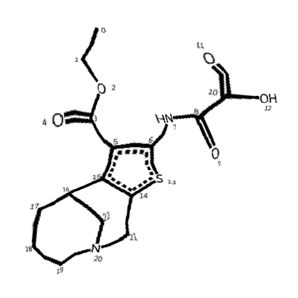 CCOC(=O)c1c(NC(=O)C(=O)O)sc2c1C1CCCN(C2)C1